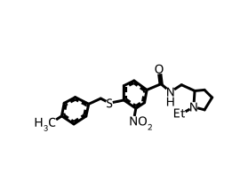 CCN1CCCC1CNC(=O)c1ccc(SCc2ccc(C)cc2)c([N+](=O)[O-])c1